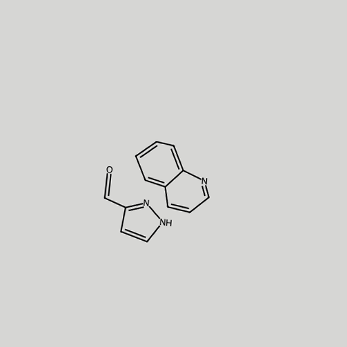 O=Cc1cc[nH]n1.c1ccc2ncccc2c1